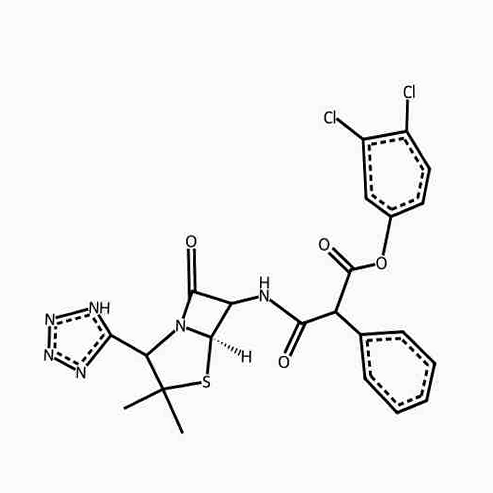 CC1(C)S[C@@H]2C(NC(=O)C(C(=O)Oc3ccc(Cl)c(Cl)c3)c3ccccc3)C(=O)N2C1c1nnn[nH]1